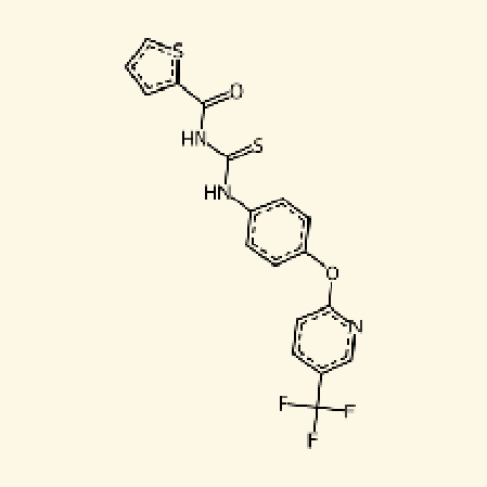 O=C(NC(=S)Nc1ccc(Oc2ccc(C(F)(F)F)cn2)cc1)c1cccs1